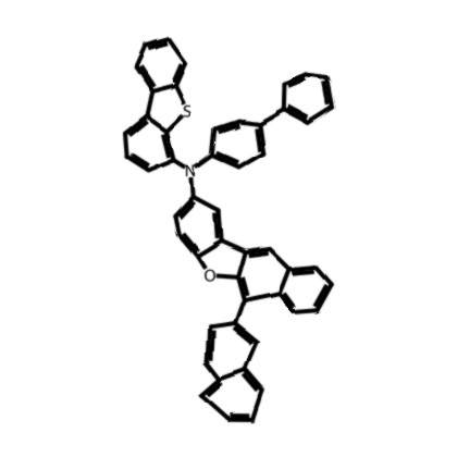 c1ccc(-c2ccc(N(c3ccc4oc5c(-c6ccc7ccccc7c6)c6ccccc6cc5c4c3)c3cccc4c3sc3ccccc34)cc2)cc1